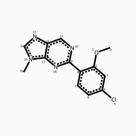 COc1cc(Cl)c[c]c1-c1ncc2ncn(C)c2n1